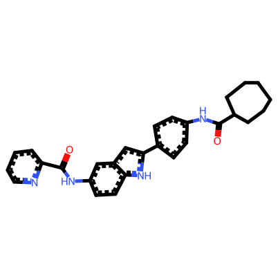 O=C(Nc1ccc2[nH]c(-c3ccc(NC(=O)C4CCCCCC4)cc3)cc2c1)c1ccccn1